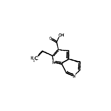 CCc1nc2cnccc2cc1C(=O)O